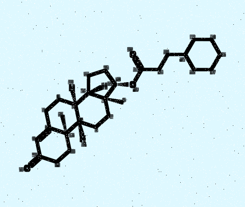 C[C@]12CC[C@H]3[C@@H](CCC4=CC(=O)CC[C@@]43C)[C@@H]1CC[C@@H]2OC(=O)CCC1CCCCC1